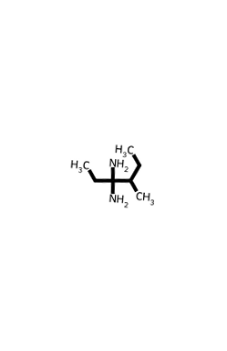 CCC(C)C(N)(N)CC